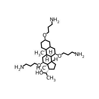 CC(O)[C@H]1CC[C@H]2[C@@H]3[C@H](OCCCN)CC4C[C@H](OCCCN)CC[C@]4(C)[C@H]3C[C@H](OCCCN)[C@]12C